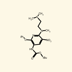 CC(C)Oc1nc(N(C)CCN(C)C)c([N+](=O)[O-])cc1NC(=O)OC(C)(C)C